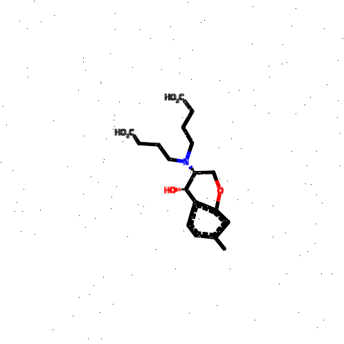 Cc1ccc2c(c1)OC[C@@H](N(CCCC(=O)O)CCCC(=O)O)[C@H]2O